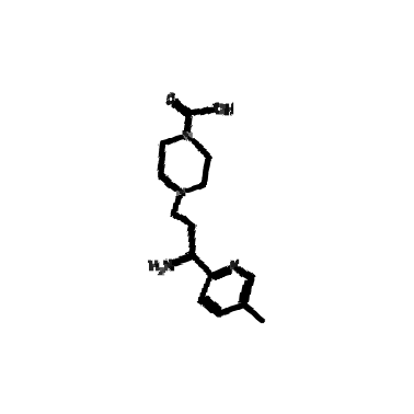 Cc1ccc(C(N)CCN2CCN(C(=O)O)CC2)nc1